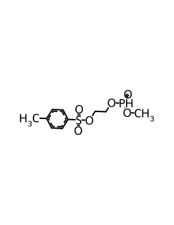 CO[PH](=O)OCCOS(=O)(=O)c1ccc(C)cc1